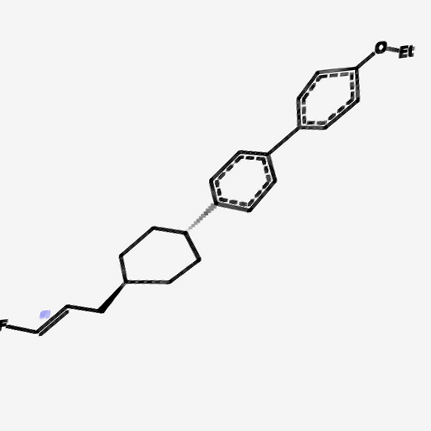 CCOc1ccc(-c2ccc([C@H]3CC[C@H](C/C=C/F)CC3)cc2)cc1